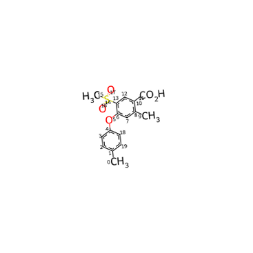 Cc1ccc(Oc2cc(C)c(C(=O)O)cc2S(C)(=O)=O)cc1